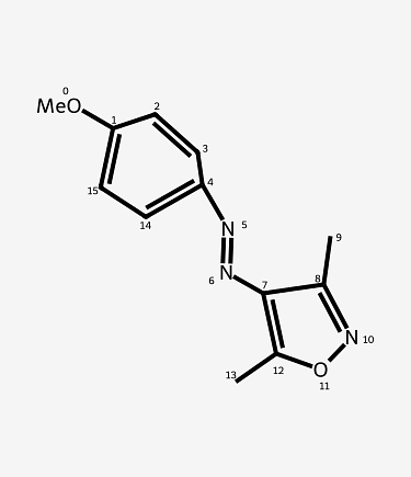 COc1ccc(N=Nc2c(C)noc2C)cc1